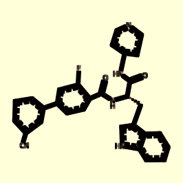 N#Cc1cccc(-c2ccc(C(=O)N[C@@H](Cc3c[nH]c4ccccc34)C(=O)Nc3ccncc3)c(F)c2)c1